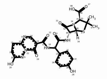 CC1(C)S[C@@H]2[C@H](NC(=O)C(NC(=O)c3cnc4ccc(O)nn4c3=O)c3ccc(O)cc3)C(=O)N2[C@H]1C(=O)O